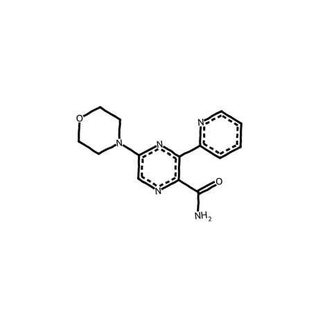 NC(=O)c1ncc(N2CCOCC2)nc1-c1ccccn1